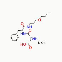 CCCCOCCCNC(=O)[C@H](Cc1ccccc1)NC(=O)[C@H]1N[C@@H]1C(=O)O.[NaH]